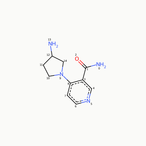 NC(=O)c1cnccc1N1CCC(N)C1